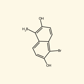 Bc1c(O)ccc2c(Br)c(O)ccc12